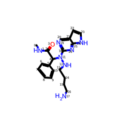 CNC(=O)C(c1ccccc1)N(NCCCCN)c1ncc2cc[nH]c2n1